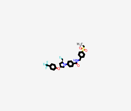 CCS(=O)(=O)c1ccc(CNC(=O)c2ccc(N3C[C@H](Oc4ccc(C(F)(F)F)cc4)C[C@H]3CF)cc2)cc1